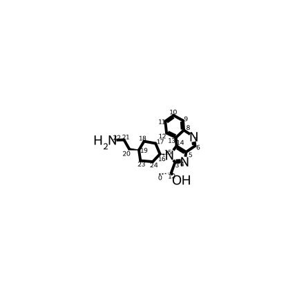 C[C@@H](O)c1nc2cnc3ccccc3c2n1[C@H]1CC[C@H](CCN)CC1